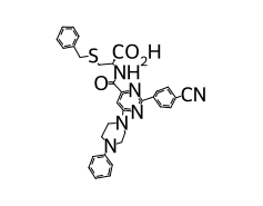 N#Cc1ccc(-c2nc(C(=O)N[C@@H](CSCc3ccccc3)C(=O)O)cc(N3CCN(c4ccccc4)CC3)n2)cc1